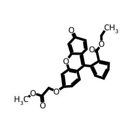 CCOC(=O)c1ccccc1-c1c2ccc(=O)cc-2oc2cc(OCC(=O)OC)ccc12